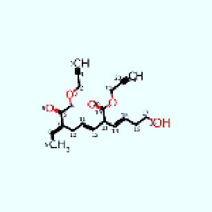 C#CCOCC(=O)/C(=C/C)CC=CC(/C=C/CCO)C(=O)OCC#C